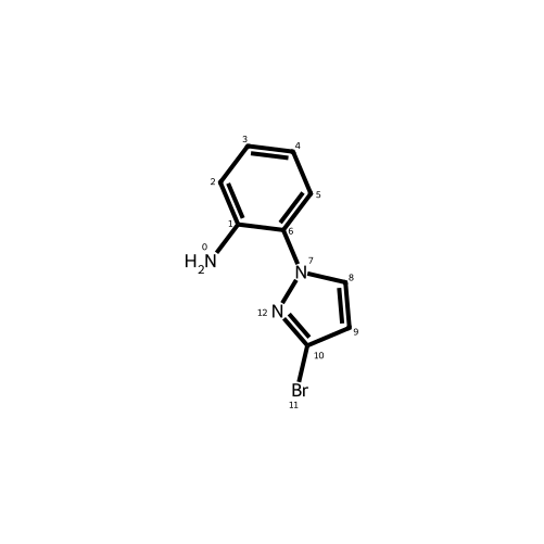 Nc1ccccc1-n1ccc(Br)n1